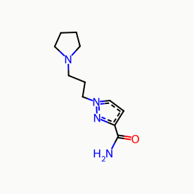 NC(=O)c1ccn(CCCN2CCCC2)n1